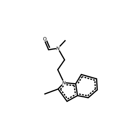 Cc1cc2ccccc2n1CCN(C)C=O